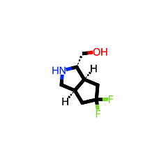 OC[C@H]1NC[C@@H]2CC(F)(F)C[C@@H]21